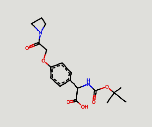 CC(C)(C)OC(=O)NC(C(=O)O)c1ccc(OCC(=O)N2CCC2)cc1